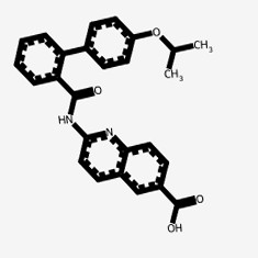 CC(C)Oc1ccc(-c2ccccc2C(=O)Nc2ccc3cc(C(=O)O)ccc3n2)cc1